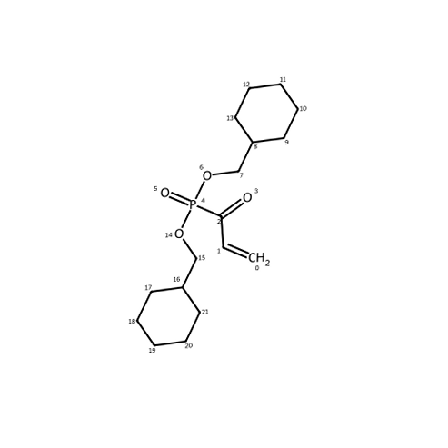 C=CC(=O)P(=O)(OCC1CCCCC1)OCC1CCCCC1